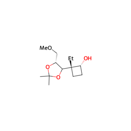 CC[C@]1(C2OC(C)(C)O[C@@H]2COC)CC[C@H]1O